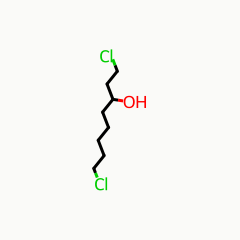 OC(CCCl)CCCCCCl